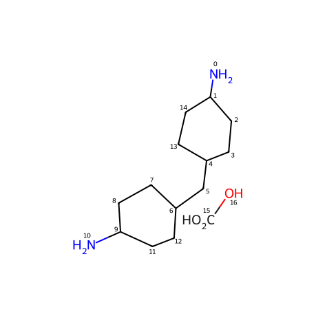 NC1CCC(CC2CCC(N)CC2)CC1.O=C(O)O